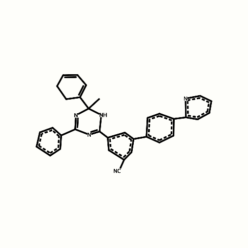 CC1(C2=CC=CCC2)N=C(c2ccccc2)N=C(c2cc(C#N)cc(-c3ccc(-c4ccccn4)cc3)c2)N1